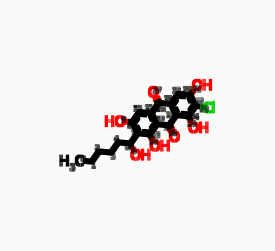 CCCCC[C@H](O)c1c(O)cc2c(c1O)C(=O)c1c(cc(O)c(Cl)c1O)C2=O